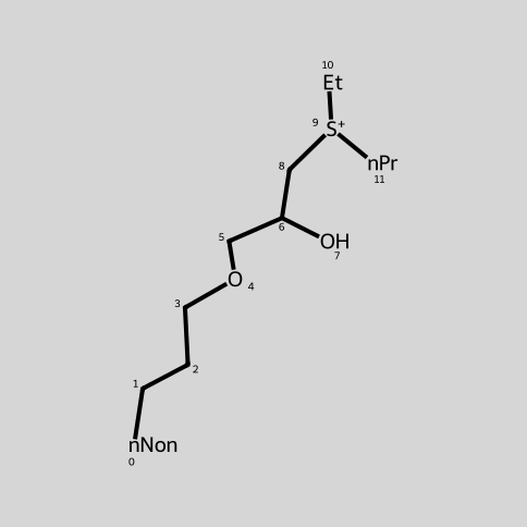 CCCCCCCCCCCCOCC(O)C[S+](CC)CCC